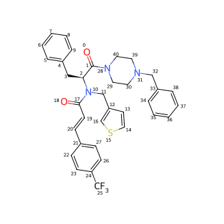 O=C([C@H](Cc1ccccc1)N(Cc1ccsc1)C(=O)C=Cc1ccc(C(F)(F)F)cc1)N1CCN(Cc2ccccc2)CC1